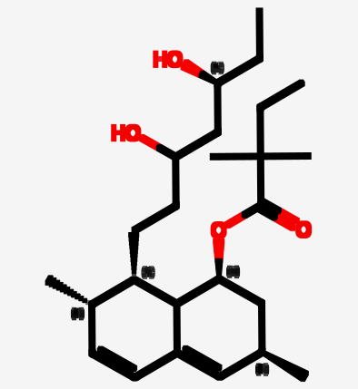 CC[C@H](O)CC(O)CC[C@@H]1C2C(=C[C@H](C)C[C@@H]2OC(=O)C(C)(C)CC)C=C[C@@H]1C